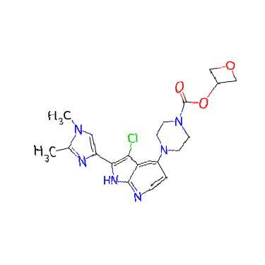 Cc1nc(-c2[nH]c3nccc(N4CCN(C(=O)OC5COC5)CC4)c3c2Cl)cn1C